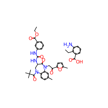 CCOC(=O)c1cccc(NC(=O)NC2CN(C(=O)C(C)(C)C)c3ccc(C)cc3N(CC(=O)c3ccc(C)o3)C2=O)c1.CCc1c(N)cccc1C(=O)O